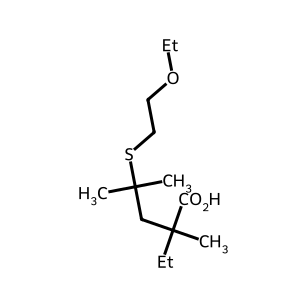 CCOCCSC(C)(C)CC(C)(CC)C(=O)O